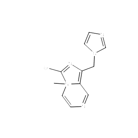 C[N+]12C=CN=CC1=C(Cn1ccnc1)N=C2Br